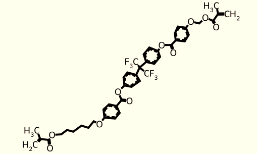 C=C(C)C(=O)OCCCCCCOc1ccc(C(=O)Oc2ccc(C(c3ccc(OC(=O)c4ccc(OCOC(=O)C(=C)C)cc4)cc3)(C(F)(F)F)C(F)(F)F)cc2)cc1